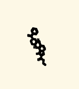 CCOC(=O)c1cn2ncc(C#N)c(NC3CCN(C(=O)c4ccccc4)CC3)c2c1C